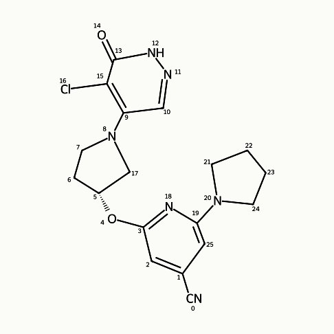 N#Cc1cc(O[C@@H]2CCN(c3cn[nH]c(=O)c3Cl)C2)nc(N2CCCC2)c1